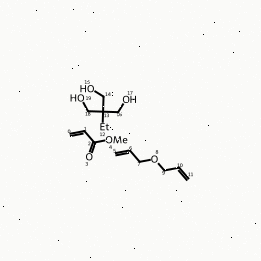 C=CC(=O)OC.C=CCOCC=C.CCC(CO)(CO)CO